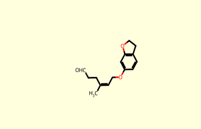 CC(=CCOc1ccc2c(c1)OCC2)CCC=O